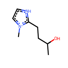 CC(O)CCc1[nH]cc[n+]1C